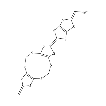 C=C1SC2=C(SCSC3=C(SCS2)SC(=C2SC4=C(SC(=CCCC)S4)S2)S3)S1